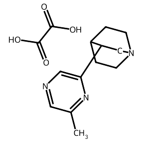 Cc1cncc(C2CN3CCC2CC3)n1.O=C(O)C(=O)O